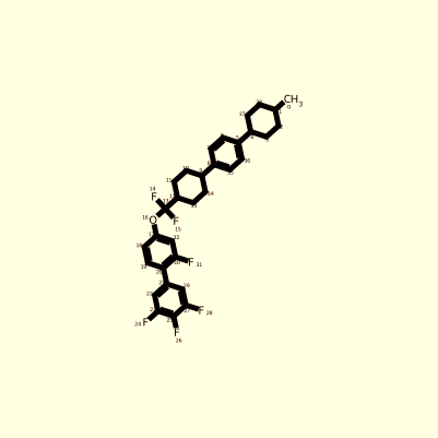 CC1CCC(c2ccc(C3CCC(C(F)(F)Oc4ccc(-c5cc(F)c(F)c(F)c5)c(F)c4)CC3)cc2)CC1